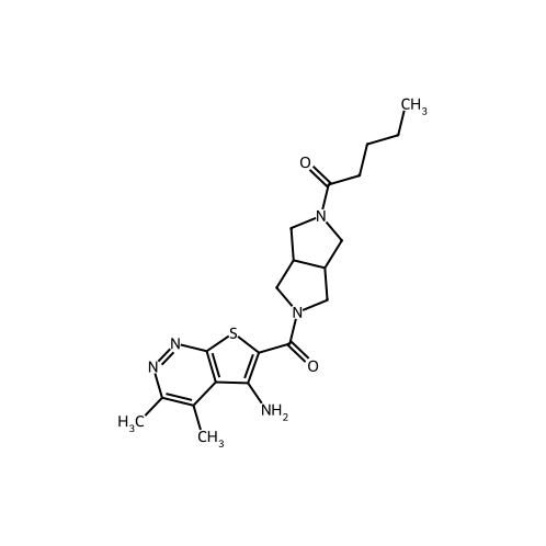 CCCCC(=O)N1CC2CN(C(=O)c3sc4nnc(C)c(C)c4c3N)CC2C1